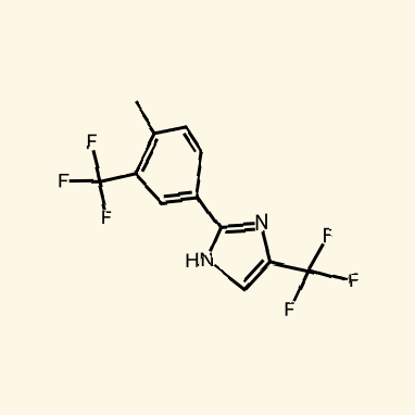 Cc1ccc(-c2nc(C(F)(F)F)c[nH]2)cc1C(F)(F)F